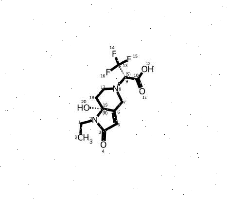 CCN1C(=O)C=C2CN([C@@H](C(=O)O)C(F)(F)F)CC[C@@]21O